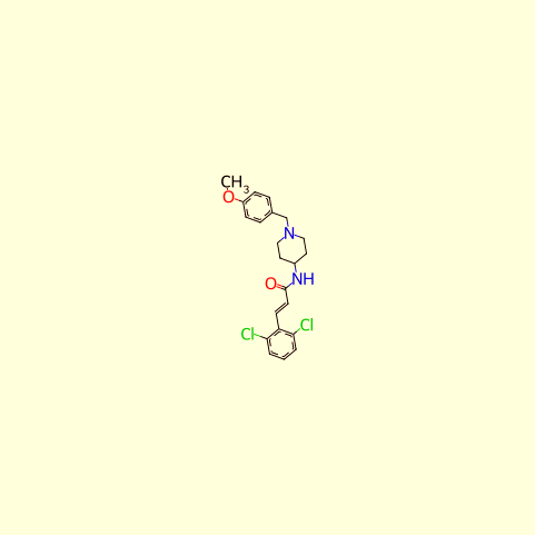 COc1ccc(CN2CCC(NC(=O)C=Cc3c(Cl)cccc3Cl)CC2)cc1